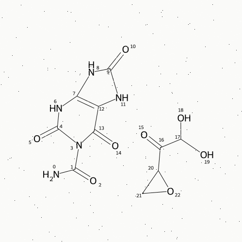 NC(=O)n1c(=O)[nH]c2[nH]c(=O)[nH]c2c1=O.O=C(C(O)O)C1CO1